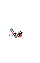 O=C(c1ccc(OCC(F)(F)C(F)F)c(C(F)(F)F)c1)N1CCC2(c3ccccn3)OCOC2C1